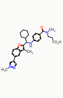 Cc1c(C(Nc2ccc(C(=O)N(C)CCC(=O)O)cc2)C2CCCCC2)oc2ccc(-c3cnn(C)c3)cc12